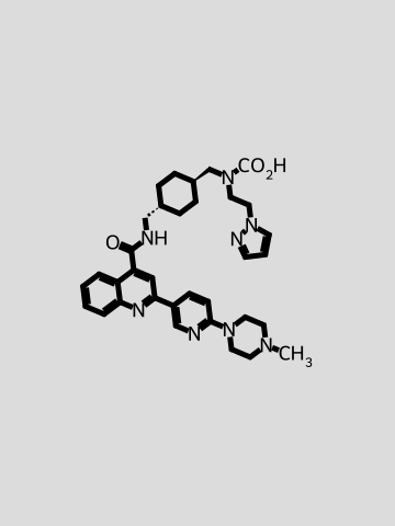 CN1CCN(c2ccc(-c3cc(C(=O)NC[C@H]4CC[C@H](CN(CCn5cccn5)C(=O)O)CC4)c4ccccc4n3)cn2)CC1